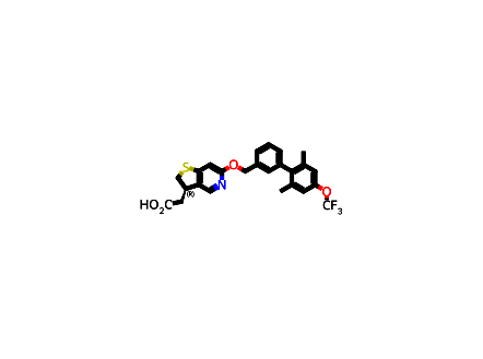 Cc1cc(OC(F)(F)F)cc(C)c1-c1cccc(COc2cc3c(cn2)[C@@H](CC(=O)O)CS3)c1